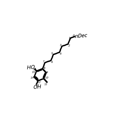 CCCCCCCCCCCCCCCCCc1cc(C)c(O)cc1O